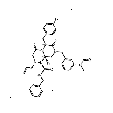 C=CCN1CC(=O)N2[C@@H](Cc3ccc(O)cc3)C(=O)N(Cc3cccc(N(C)C=O)c3)C[C@@H]2N1C(=O)NCc1ccccc1